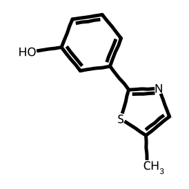 Cc1cnc(-c2cccc(O)c2)s1